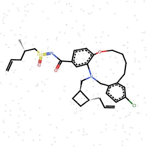 C=CC[C@H](C)C/[SH](=O)=N/C(=O)c1ccc2c(c1)N(C[C@@H]1CC[C@H]1CC=C)Cc1ccc(Cl)cc1CCCCO2